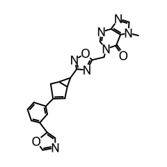 Cn1cnc2ncn(Cc3nc(C4C5C=C(c6cccc(-c7cnco7)c6)CC54)no3)c(=O)c21